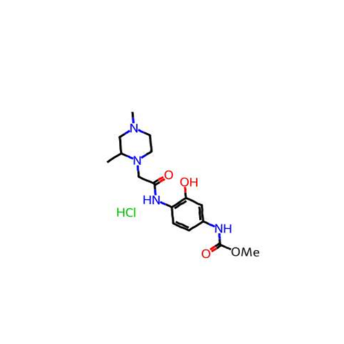 COC(=O)Nc1ccc(NC(=O)CN2CCN(C)CC2C)c(O)c1.Cl